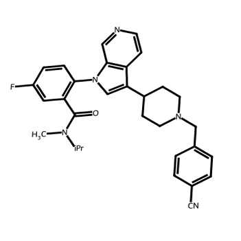 CC(C)N(C)C(=O)c1cc(F)ccc1-n1cc(C2CCN(Cc3ccc(C#N)cc3)CC2)c2ccncc21